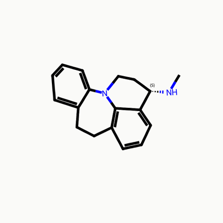 CN[C@H]1CCN2c3ccccc3CCc3cccc1c32